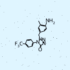 Cc1cc(Cn2nnc(=O)n2-c2ccc(C(F)(F)F)cc2)ccc1N